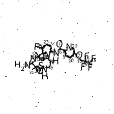 CC1(c2nc(NC(=O)c3ccc(OCC(F)(F)C(F)F)cn3)ccc2F)N=C(N)C(C)(C)[SH]2(=O)NCCCC12